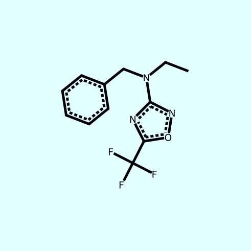 CCN(Cc1ccccc1)c1noc(C(F)(F)F)n1